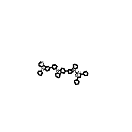 c1ccc(-c2cc(-c3ccccc3)nc(-n3c4ccccc4c4cc(-c5ccc6c(c5)c5ccccc5n6-c5cccc(-c6ccc7c(c6)c6ncccc6n7-c6ccccc6)c5)ccc43)n2)cc1